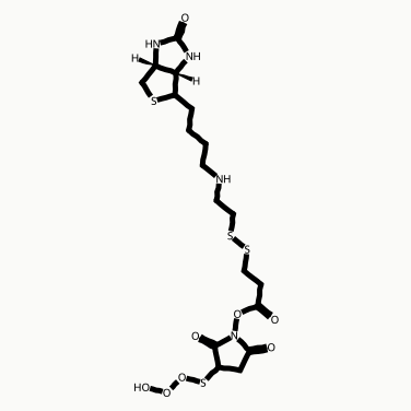 O=C1N[C@H]2CSC(CCCCNCCSSCCC(=O)ON3C(=O)CC(SOOO)C3=O)[C@H]2N1